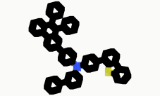 c1ccc(-c2cccc(N(c3ccc(-c4ccc5c(c4)c(-c4ccccc4)c(-c4ccccc4)c4ccccc45)cc3)c3ccc(-c4cccc5c4sc4ccccc45)cc3)c2)cc1